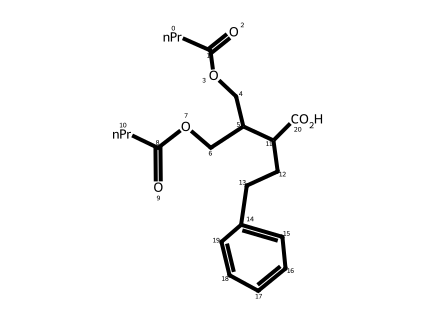 CCCC(=O)OCC(COC(=O)CCC)C(CCc1ccccc1)C(=O)O